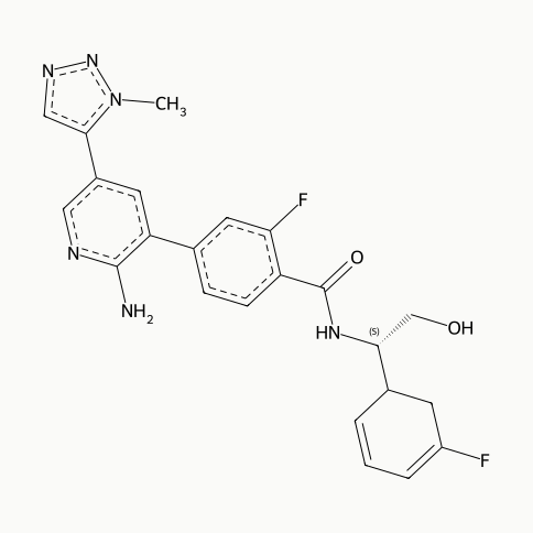 Cn1nncc1-c1cnc(N)c(-c2ccc(C(=O)N[C@H](CO)C3C=CC=C(F)C3)c(F)c2)c1